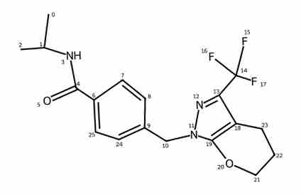 CC(C)NC(=O)c1ccc(Cn2nc(C(F)(F)F)c3c2OCCC3)cc1